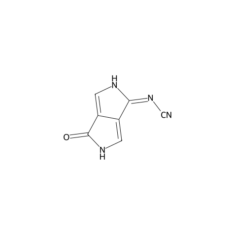 N#CN=C1NC=C2C(=O)NC=C21